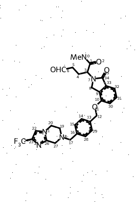 CNC(=O)C(CCC=O)N1Cc2c(OCc3ccc(CN4CCn5cc(C(F)(F)F)nc5C4)cc3)cccc2C1=O